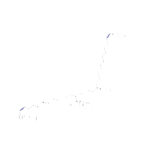 CCCCCCCC/C=C\CCCCCCCCCCC(CCCCC(CCCCCCCCCC/C=C\CCCCCCCC)C(=O)O)C(N)=O